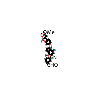 COC(=O)CC1COc2cc(O[C@@H]3CCc4c(Oc5ccc(C=O)cc5C#N)ccc(F)c43)ccc21